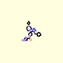 O=C(c1c[nH]cn1)N1CCC(c2nnnn2Cc2ccccc2)(N2CCCN(C3CCC3)CC2)CC1